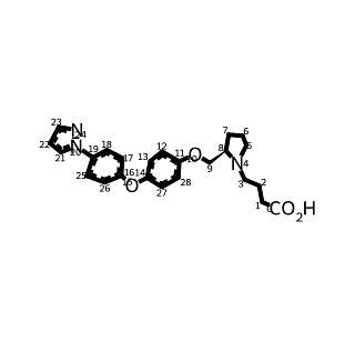 O=C(O)CCCN1CCC[C@@H]1COc1ccc(Oc2ccc(-n3cccn3)cc2)cc1